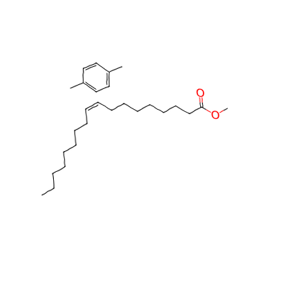 CCCCCCCC/C=C\CCCCCCCC(=O)OC.Cc1ccc(C)cc1